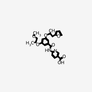 COC[C@H](C)Oc1cc(O[C@@H](C)Cc2ccco2)cc(C(=O)Nc2ccc(C(=O)O)cn2)c1